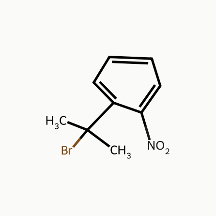 CC(C)(Br)c1ccccc1[N+](=O)[O-]